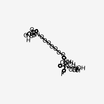 CC(C)c1c(C(=O)Nc2ccc(OCCOCCOCCOCCOCCOCCOCCNc3cccc4c3C(=O)N(C3CCC(=O)NC3=O)C4=O)cc2)c(-c2ccccc2)c(-c2ccc(F)cc2)n1CCC(O)CC(O)CC(=O)O